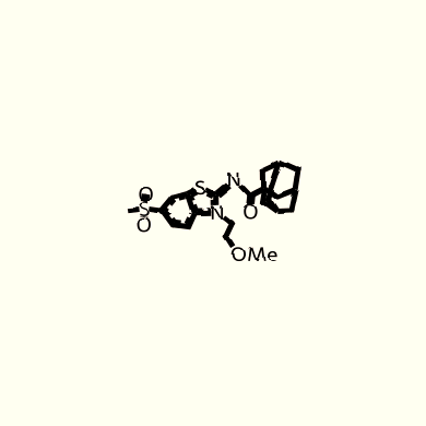 COCCn1c(=NC(=O)C23CC4CC(CC(C4)C2)C3)sc2cc(S(C)(=O)=O)ccc21